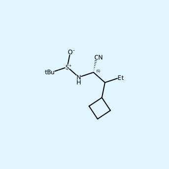 CCC(C1CCC1)[C@@H](C#N)N[S+]([O-])C(C)(C)C